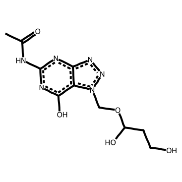 CC(=O)Nc1nc(O)c2c(nnn2COC(O)CCO)n1